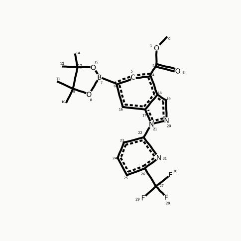 COC(=O)c1cc(B2OC(C)(C)C(C)(C)O2)cc2c1cnn2-c1cccc(C(F)(F)F)n1